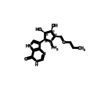 CCCOC[C@@H]1[C@@H](O)[C@@H](O)[C@H](c2c[nH]c3c(=O)[nH]cnc23)N1P